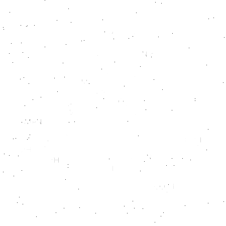 O=C(O)/C=C/C(=O)O.[2H]C([2H])(NC)c1cc(-c2cccnc2F)c(S(=O)(=O)c2cccnc2)s1